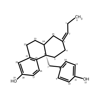 CC/C=C1/CC[C@@]2(Cc3ccc(O)cc3)c3ccc(O)cc3CCC2C1